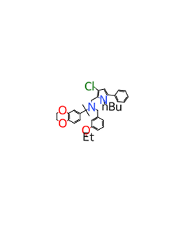 CCCCn1c(-c2ccccc2)cc(Cl)c1CN(Cc1cccc(OCC)c1)C(C)(C)c1ccc2c(c1)OCCO2